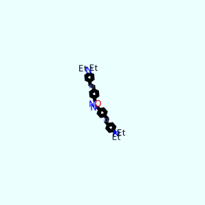 CCN(CC)c1ccc(/C=C/c2ccc(-c3nnc(-c4ccc(/C=C/c5ccc(N(CC)CC)cc5)cc4)o3)cc2)cc1